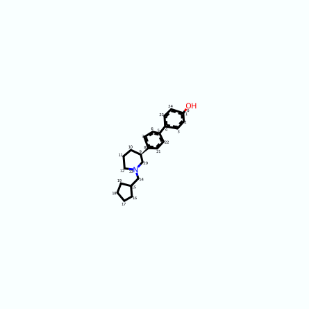 Oc1ccc(-c2ccc([C@@H]3CCCN(CC4CCCC4)C3)cc2)cc1